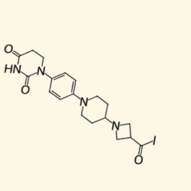 O=C1CCN(c2ccc(N3CCC(N4CC(C(=O)I)C4)CC3)cc2)C(=O)N1